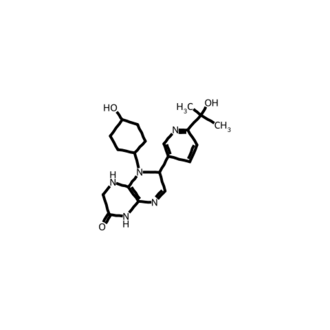 CC(C)(O)c1ccc(C2C=NC3=C(NCC(=O)N3)N2C2CCC(O)CC2)cn1